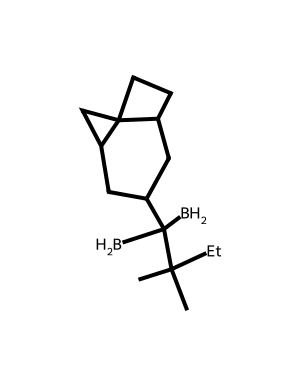 BC(B)(C1CC2CCC23CC3C1)C(C)(C)CC